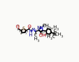 C/C(=N\NC(=O)c1ccc(C=O)s1)c1nn(C)c(-c2ccc(C(C)(C)C)cc2)c1O